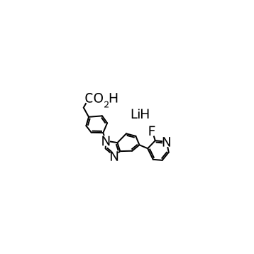 O=C(O)Cc1ccc(-n2cnc3cc(-c4cccnc4F)ccc32)cc1.[LiH]